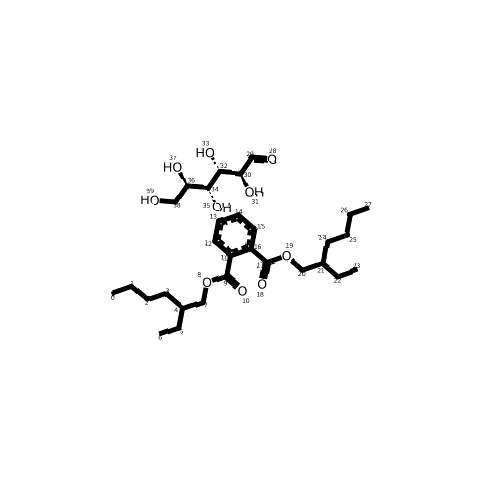 CCCCC(CC)COC(=O)c1ccccc1C(=O)OCC(CC)CCCC.O=C[C@@H](O)[C@@H](O)[C@H](O)[C@H](O)CO